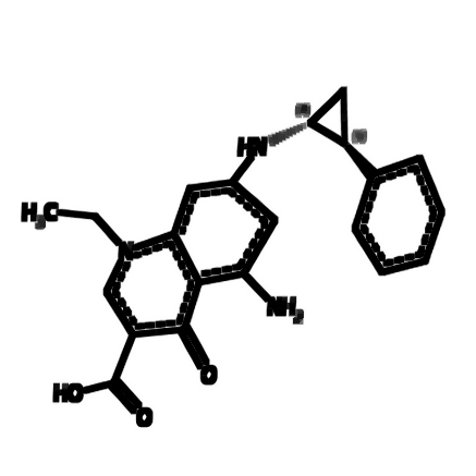 CCn1cc(C(=O)O)c(=O)c2c(N)cc(N[C@@H]3C[C@H]3c3ccccc3)cc21